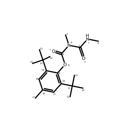 CNC(=O)N(C)C(=O)Oc1c(C(C)(C)C)cc(C)cc1C(C)(C)C